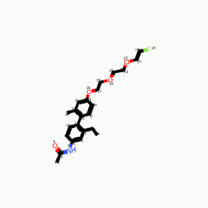 CCc1cc(NC(C)=O)ccc1-c1ccc(OCCOCCOCCF)cc1C